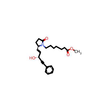 COC(=O)CCCCCCN1C(=O)CC[C@@H]1C=C[C@@H](O)C#Cc1ccccc1